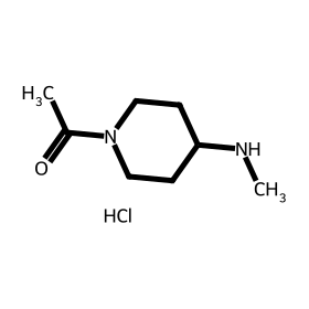 CNC1CCN(C(C)=O)CC1.Cl